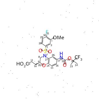 COc1cc(S(=O)(=O)N2C[C@H](CCC(=O)O)Oc3ccc(NC(=O)OC(C)(C)C(F)(F)F)cc32)ccc1F